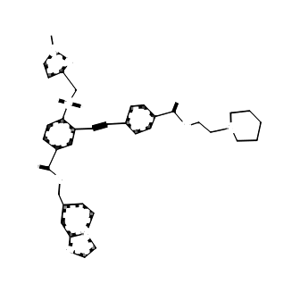 Cn1ccc(CS(=O)(=O)c2ccc(C(=O)NCc3ccn4ccnc4c3)cc2C#Cc2ccc(C(=O)NCCN3CCCCC3)cc2)n1